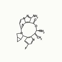 C=C1c2ncc(F)cc2C2C3CC3CN2c2ccn3nc(N)c(c3n2)C(=O)O[C@H]1N